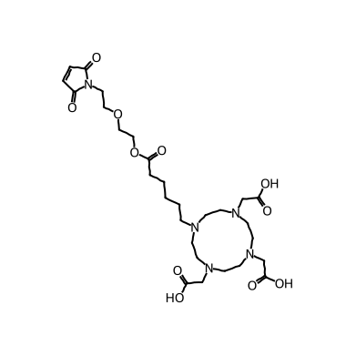 O=C(O)CN1CCN(CCCCCC(=O)OCCOCCN2C(=O)C=CC2=O)CCN(CC(=O)O)CCN(CC(=O)O)CC1